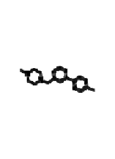 Cc1ccc(-c2cccc(CN3CCN(C)CC3)c2)cc1